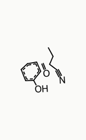 C=O.CCCC#N.Oc1ccccc1